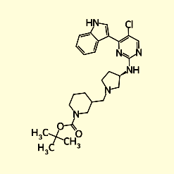 CC(C)(C)OC(=O)N1CCCC(CN2CC[C@@H](Nc3ncc(Cl)c(-c4c[nH]c5ccccc45)n3)C2)C1